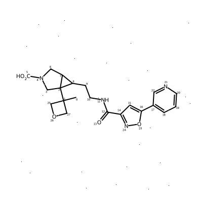 CC1(C23CN(C(=O)O)CC2C3CCNC(=O)c2cc(-c3cccnc3)on2)COC1